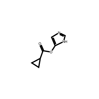 O=C(Oc1cnc[nH]1)C1CC1